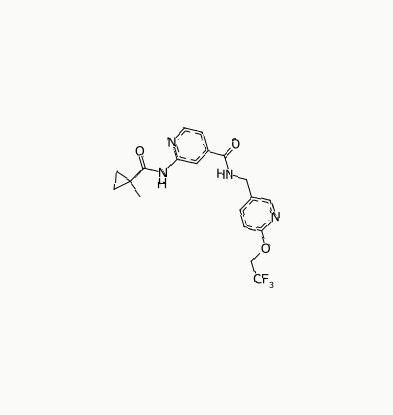 CC1(C(=O)Nc2cc(C(=O)NCc3ccc(OCC(F)(F)F)nc3)ccn2)CC1